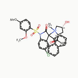 CNC(=O)[C@@H]1C[C@@H](O)C[N+]1(C)C1(c2cccc3ccccc23)C(=O)N(S(=O)(=O)c2ccc(OC)cc2OC(F)(F)F)c2ccc(Cl)cc21